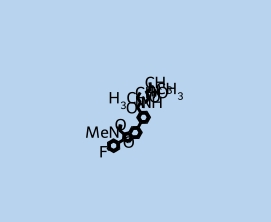 CNC(=O)c1c(-c2ccc(F)cc2)oc2ccc(-c3cccc(C(=O)N(NC4C=C(C)N(C)O4)C(C)C=O)c3)cc12